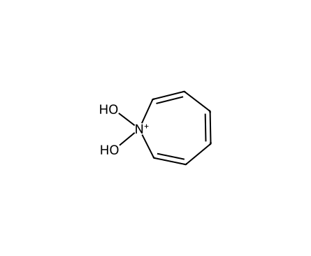 O[N+]1(O)C=CC=CC=C1